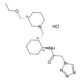 CCOC[C@@H]1CCCN(C[C@H]2CCCC[C@@H]2NC(=O)Cn2cnnn2)C1.Cl